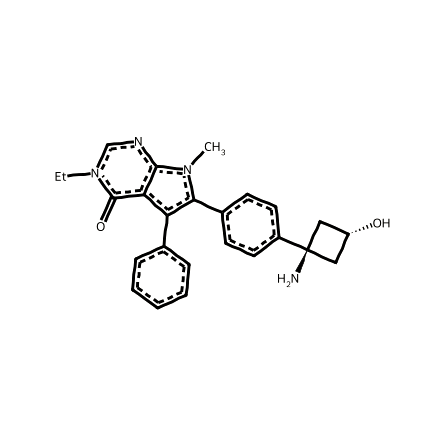 CCn1cnc2c(c(-c3ccccc3)c(-c3ccc([C@]4(N)C[C@H](O)C4)cc3)n2C)c1=O